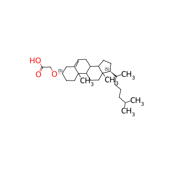 CC(C)CCCC(C)[C@@H]1CCC2C3CC=C4C[C@@H](OCC(=O)O)CCC4(C)C3CCC21C